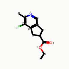 CCOC(=O)C1Cc2cnc(C)c(F)c2C1